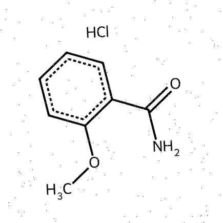 COc1ccccc1C(N)=O.Cl